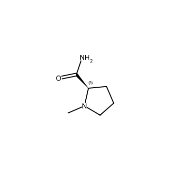 CN1CCC[C@@H]1C(N)=O